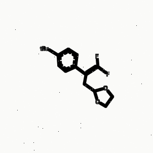 CC(C)(C)c1ccc(C(CC2OCCO2)=C(F)F)cc1